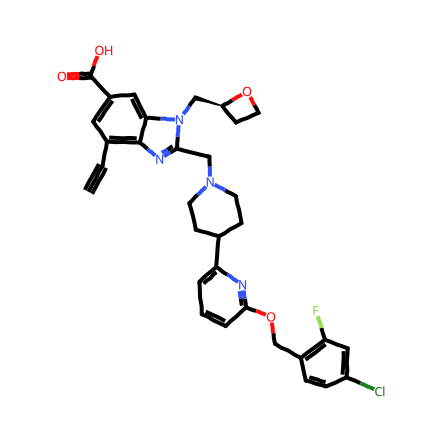 C#Cc1cc(C(=O)O)cc2c1nc(CN1CCC(c3cccc(OCc4ccc(Cl)cc4F)n3)CC1)n2C[C@@H]1CCO1